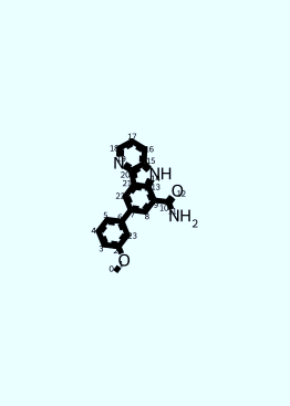 COc1cccc(-c2cc(C(N)=O)c3[nH]c4cccnc4c3c2)c1